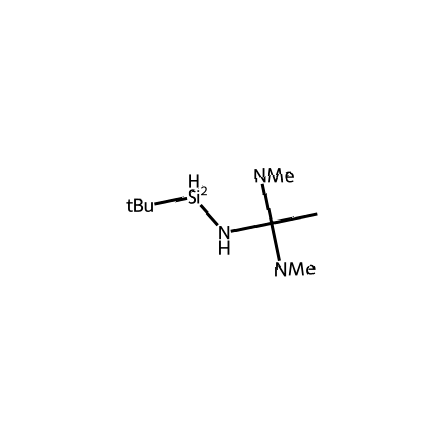 CNC(C)(NC)N[SiH2]C(C)(C)C